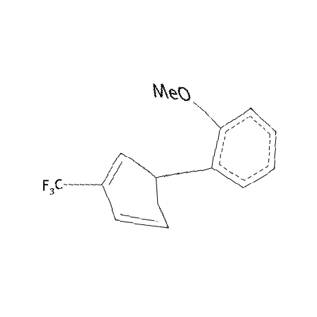 COc1ccccc1C1C=CC(C(F)(F)F)=C1